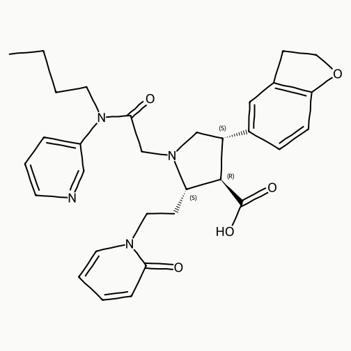 CCCCN(C(=O)CN1C[C@H](c2ccc3c(c2)CCO3)[C@@H](C(=O)O)[C@@H]1CCn1ccccc1=O)c1cccnc1